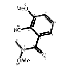 COc1cccc(C(=O)N(C)OC)c1C#N